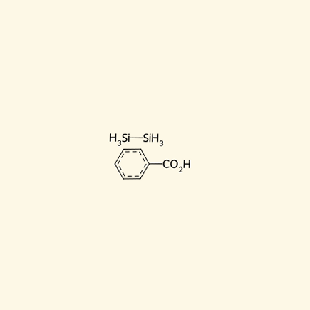 O=C(O)c1ccccc1.[SiH3][SiH3]